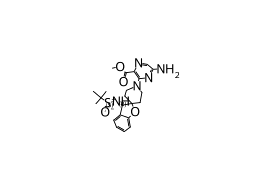 COC(=O)c1ncc(N)nc1N1CCC2(CC1)Oc1ccccc1[C@H]2N[S@+]([O-])C(C)(C)C